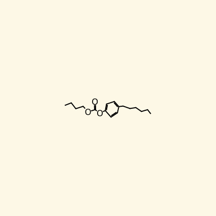 CCCCCCc1ccc(OC(=O)OCCCC)cc1